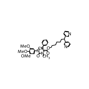 COc1cc(N(C)C(=O)N(C)C(Cc2ccccc2)C(=O)OCCCCCCC(c2cccnc2)c2cccnc2)cc(OC)c1OC